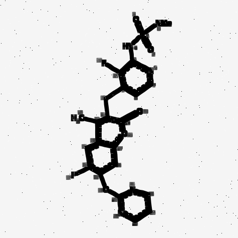 CNS(=O)(=O)Nc1nccc(Cc2c(C)c3cc(F)c(Oc4ncccn4)cc3oc2=O)c1F